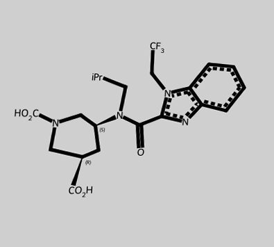 CC(C)CN(C(=O)c1nc2ccccc2n1CC(F)(F)F)[C@H]1C[C@@H](C(=O)O)CN(C(=O)O)C1